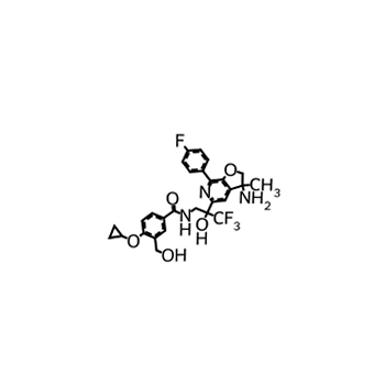 CC1(N)COc2c1cc(C(O)(CNC(=O)c1ccc(OC3CC3)c(CO)c1)C(F)(F)F)nc2-c1ccc(F)cc1